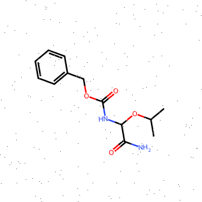 CC(C)OC(NC(=O)OCc1ccccc1)C(N)=O